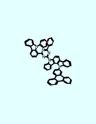 c1ccc(-c2nc(-c3cccc4c5ccccc5n(-c5ccccc5)c34)nc(-n3c4ccccc4c4c3ccc3c5ccccc5n(-c5ccc6c7ccccc7c7ccccc7c6c5)c34)n2)cc1